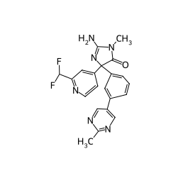 Cc1ncc(-c2cccc(C3(c4ccnc(C(F)F)c4)N=C(N)N(C)C3=O)c2)cn1